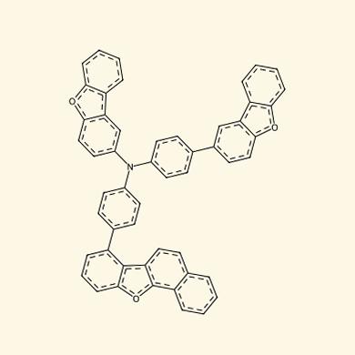 c1ccc2c(c1)ccc1c2oc2cccc(-c3ccc(N(c4ccc(-c5ccc6oc7ccccc7c6c5)cc4)c4ccc5oc6ccccc6c5c4)cc3)c21